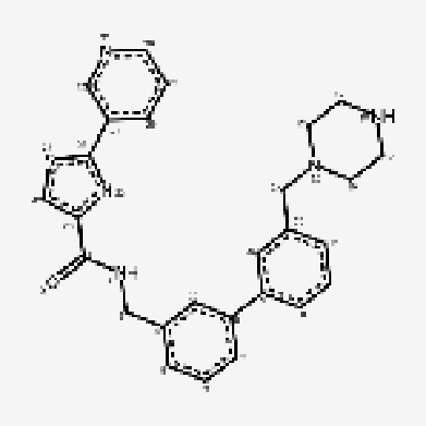 O=C(NCc1cccc(-c2cccc(CN3CCNCC3)c2)c1)c1csc(-c2cccnc2)n1